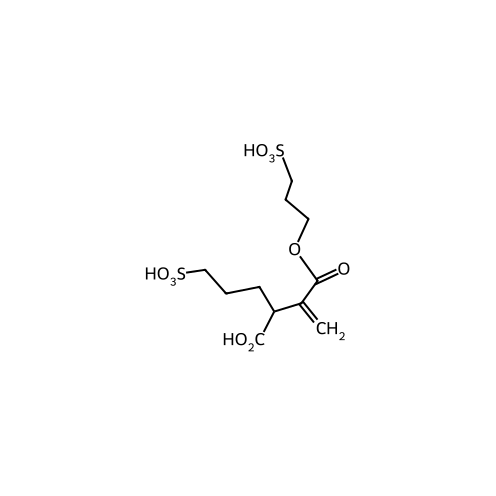 C=C(C(=O)OCCCS(=O)(=O)O)C(CCCS(=O)(=O)O)C(=O)O